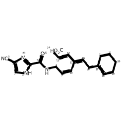 N#Cc1c[nH]c(C(=O)NC\C=C/C(/C=C/C(=O)O)=C\CC2=CCCCC2)n1